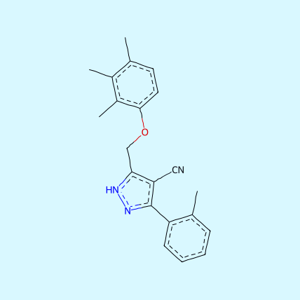 Cc1ccccc1-c1n[nH]c(COc2ccc(C)c(C)c2C)c1C#N